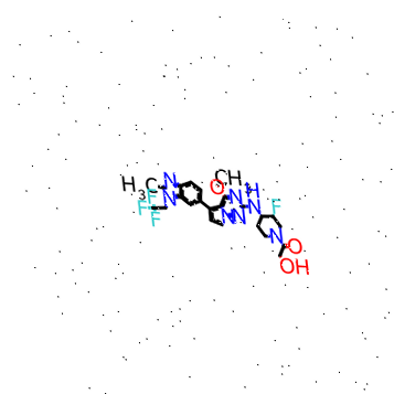 COc1nc(N[C@H]2CCN(C(=O)CO)C[C@H]2F)nn2ccc(-c3ccc4nc(C)n(CC(F)(F)F)c4c3)c12